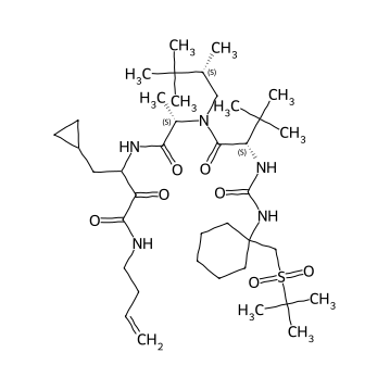 C=CCCNC(=O)C(=O)C(CC1CC1)NC(=O)[C@H](C)N(C[C@@H](C)C(C)(C)C)C(=O)[C@@H](NC(=O)NC1(CS(=O)(=O)C(C)(C)C)CCCCC1)C(C)(C)C